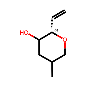 C=C[C@@H]1OCC(C)CC1O